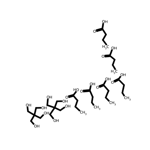 CCCC(=O)O.CCCC(=O)O.CCCC(=O)O.CCCC(=O)O.CCCC(=O)O.CCCC(=O)O.OCC(CO)(CO)CO.OCC(CO)(CO)CO